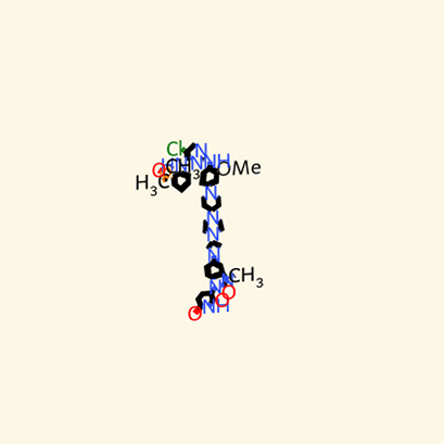 COc1cc(N2CCC(N3CCN(C4CN(c5ccc6c(c5)n(C)c(=O)n6C5CCC(=O)NC5=O)C4)CC3)CC2)ccc1Nc1ncc(Cl)c(Nc2ccccc2P(C)(C)=O)n1